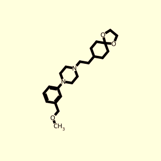 COCc1cccc(N2CCN(CCC3CCC4(CC3)OCCO4)CC2)c1